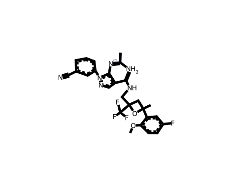 C=C(NCC1(C(F)(F)F)CC(C)(c2cc(F)ccc2OC)O1)c1cnn(-c2cccc(C#N)c2)c1/N=C(/C)N